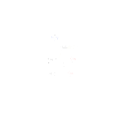 CC(O)(O)SC(N)=S.[KH]